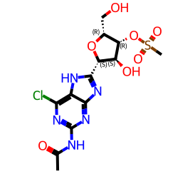 CC(=O)Nc1nc(Cl)c2[nH]c([C@@H]3O[C@H](CO)[C@H](OS(C)(=O)=O)[C@H]3O)nc2n1